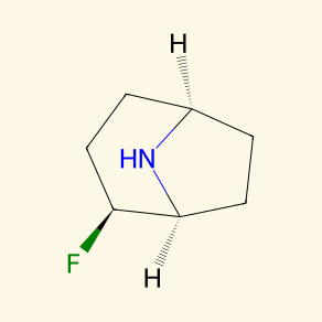 F[C@H]1CC[C@H]2CC[C@@H]1N2